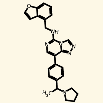 CC(c1ccc(-c2cnc(NCc3cccc4occc34)n3cnnc23)cc1)N1CCCC1